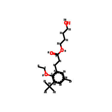 CCOc1c(CCC(=O)OCCCCO)cc(C)cc1C(C)(C)C